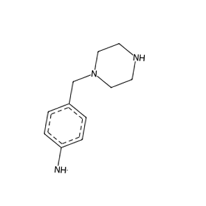 [NH]c1ccc(CN2CCNCC2)cc1